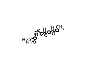 CCOc1cc(C2=NN(C(=O)c3cccc(NC(=O)c4ccc(NC(=O)c5cccc(C)c5)cc4)c3)CCC2)ccc1OC